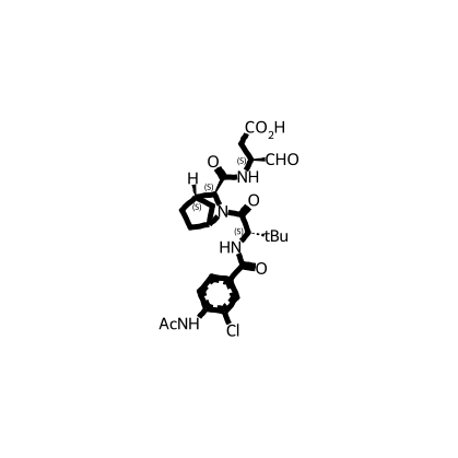 CC(=O)Nc1ccc(C(=O)N[C@H](C(=O)N2C3CC[C@@H](C3)[C@H]2C(=O)N[C@H](C=O)CC(=O)O)C(C)(C)C)cc1Cl